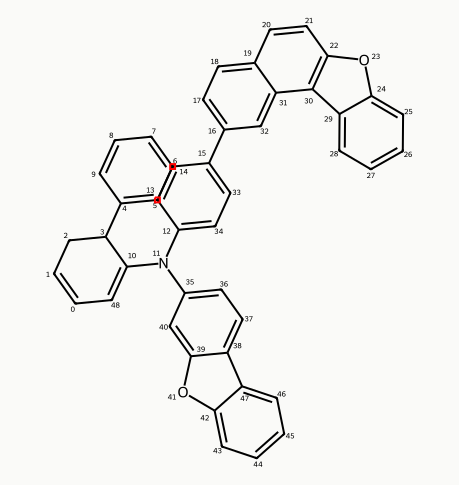 C1=CCC(c2ccccc2)C(N(c2ccc(-c3ccc4ccc5oc6ccccc6c5c4c3)cc2)c2ccc3c(c2)oc2ccccc23)=C1